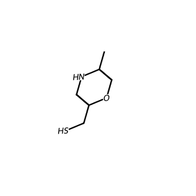 CC1COC(CS)CN1